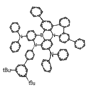 CC(C)(C)c1cc(-c2ccc(N3c4cc(N(c5ccccc5)c5ccccc5)ccc4B4c5cc(-c6ccccc6)cc6c5N(c5ccc(-c7ccccc7)cc5-c5ccccc5-6)c5cc(N(c6ccccc6)c6ccccc6)cc3c54)cc2)cc(C(C)(C)C)c1